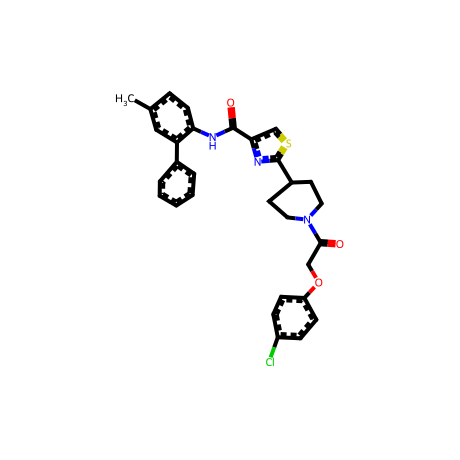 Cc1ccc(NC(=O)c2csc(C3CCN(C(=O)COc4ccc(Cl)cc4)CC3)n2)c(-c2ccccc2)c1